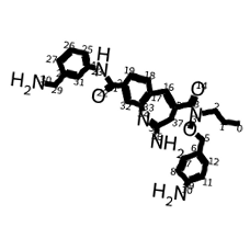 CCCN(OCc1ccc(N)cc1)C(=O)C1=Cc2ccc(C(=O)Nc3cccc(CN)c3)cc2N=C(N)C1